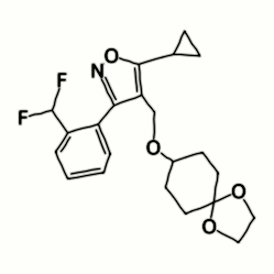 FC(F)c1ccccc1-c1noc(C2CC2)c1COC1CCC2(CC1)OCCO2